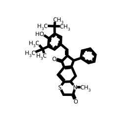 CN1C(=O)CSC2=CC3=C(CC21)C(c1ccccc1)C(=Cc1cc(C(C)(C)C)c(O)c(C(C)(C)C)c1)C3=O